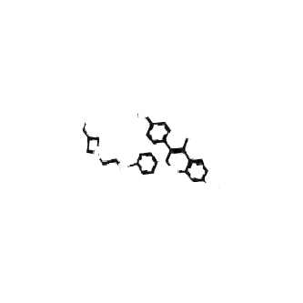 CC1=C(c2ccc(Cl)cc2)[C@@H](c2ccc(OCCN3CC(CF)C3)cc2)Oc2cc(O)ccc21